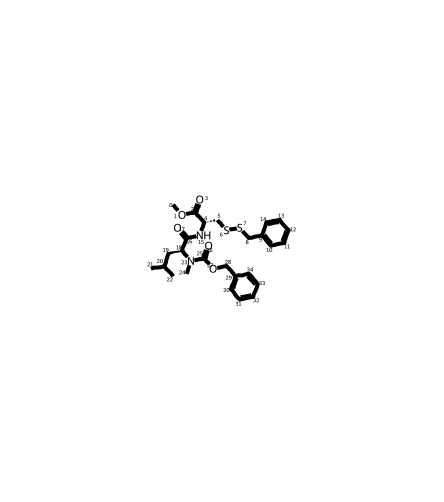 COC(=O)[C@H](CSSCc1ccccc1)NC(=O)[C@H](CC(C)C)N(C)C(=O)OCc1ccccc1